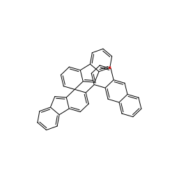 C1=CC2(C3=Cc4ccccc4C3=C1)C1=Cc3ccccc3C1=CC=C2c1cccc2cc3ccccc3cc12